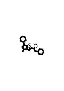 CC1=CC(C2CCCCC2)c2sc(C(=O)CC3CCCCC3)cc21